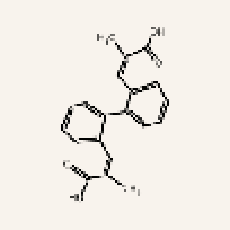 CC(=Cc1ccccc1-c1ccccc1C=C(C)C(=O)O)C(=O)O